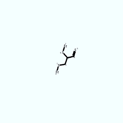 CCSCC([C]=S)SCC